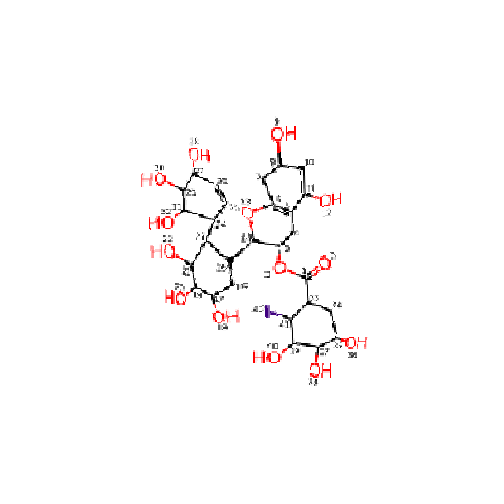 O=C(O[C@@H]1CC2=C(CC(O)C=C2O)O[C@@H]1C1CC(O)C(O)C(O)C1C1C=CC(O)C(O)C1O)C1CC(O)C(O)C(O)C1I